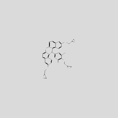 Ic1cc(C2c3c(ccc4cc(OCC5CO5)ccc34)Oc3ccc4cc(OCC5CO5)ccc4c32)cc(I)c1OCC1CO1